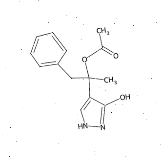 CC(=O)OC(C)(Cc1ccccc1)c1c[nH]nc1O